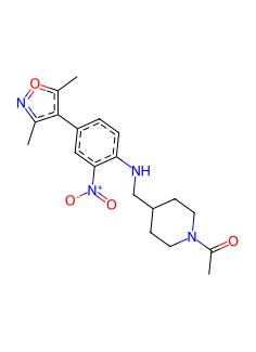 CC(=O)N1CCC(CNc2ccc(-c3c(C)noc3C)cc2[N+](=O)[O-])CC1